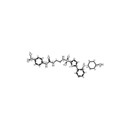 O=C(NCCNS(=O)(=O)c1ccc(-c2ccccc2O[C@H]2CC[C@H](O)CC2)s1)Nc1ccc([N+](=O)[O-])cc1